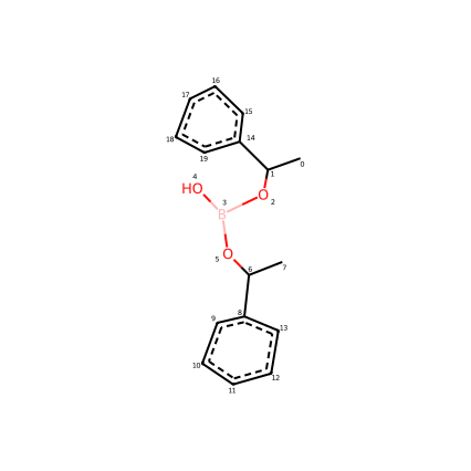 CC(OB(O)OC(C)c1ccccc1)c1ccccc1